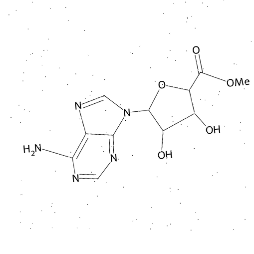 COC(=O)C1OC(n2cnc3c(N)ncnc32)C(O)C1O